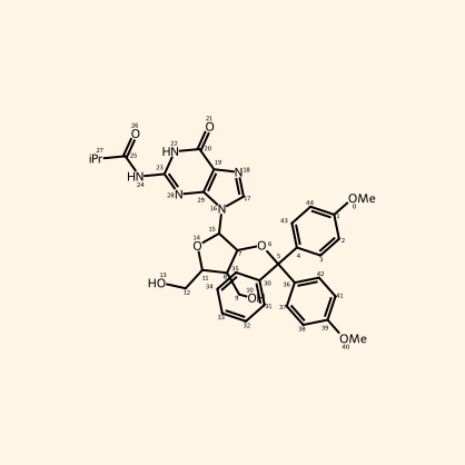 COc1ccc(C(OC2C(CO)C(CO)OC2n2cnc3c(=O)[nH]c(NC(=O)C(C)C)nc32)(c2ccccc2)c2ccc(OC)cc2)cc1